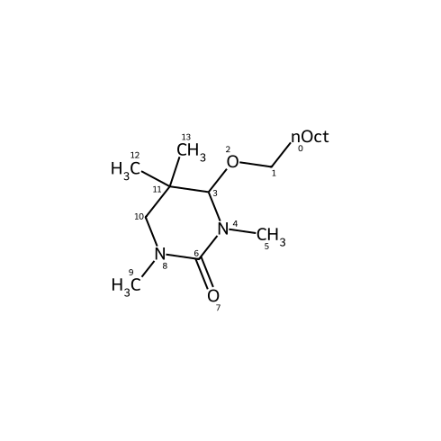 CCCCCCCCCOC1N(C)C(=O)N(C)CC1(C)C